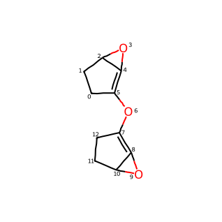 C1CC2OC2=C1OC1=C2OC2CC1